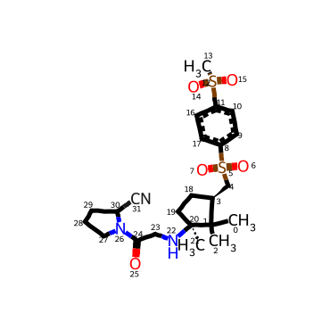 CC1(C)[C@H](CS(=O)(=O)c2ccc(S(C)(=O)=O)cc2)CC[C@]1(C)NCC(=O)N1CCCC1C#N